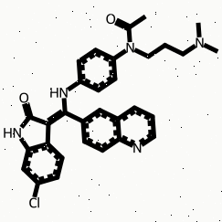 CC(=O)N(CCCN(C)C)c1ccc(N/C(=C2\C(=O)Nc3cc(Cl)ccc32)c2ccc3ncccc3c2)cc1